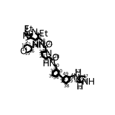 CCc1nc2c(cnn2CC)c(NC2CCOCC2)c1CNC(=O)c1cccc(C(=O)NCc2cccc(-c3cccc(CN4C[C@H]5C[C@@H]4CN5)c3)c2)n1